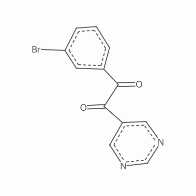 O=C(C(=O)c1cccc(Br)c1)c1cncnc1